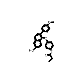 CCC(=O)Oc1ccc(Oc2c(-c3ccc(OC)cc3)ccc3cc(O)ccc23)cc1